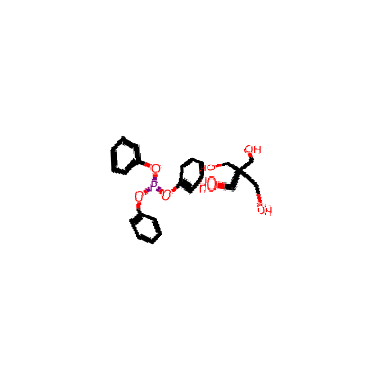 OCC(CO)(CO)CO.c1ccc(OP(Oc2ccccc2)Oc2ccccc2)cc1